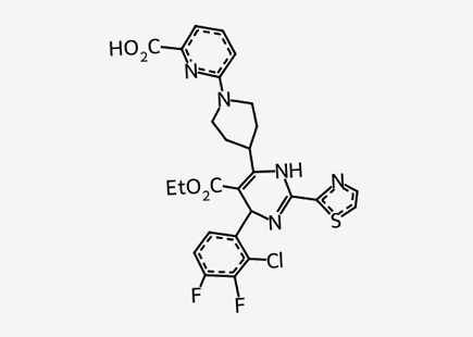 CCOC(=O)C1=C(C2CCN(c3cccc(C(=O)O)n3)CC2)NC(c2nccs2)=NC1c1ccc(F)c(F)c1Cl